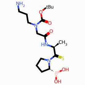 C[C@H](NC(=O)CN(CCCN)C(=O)OC(C)(C)C)C(=S)N1CCC[C@H]1B(O)O